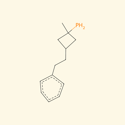 CC1(P)CC(CCc2ccccc2)C1